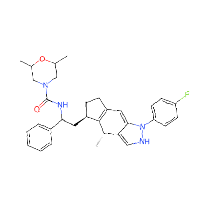 CC1CN(C(=O)NC(C[C@H]2CCC3=C2[C@@H](C)C2=CNN(c4ccc(F)cc4)C2=C3)c2ccccc2)CC(C)O1